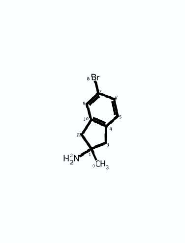 CC1(N)Cc2ccc(Br)cc2C1